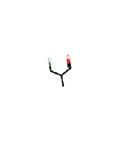 CC([C]=O)CCl